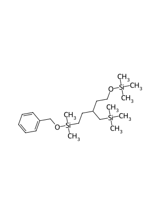 C[Si](C)(C)CC(CCO[Si](C)(C)C)CC[Si](C)(C)OCc1ccccc1